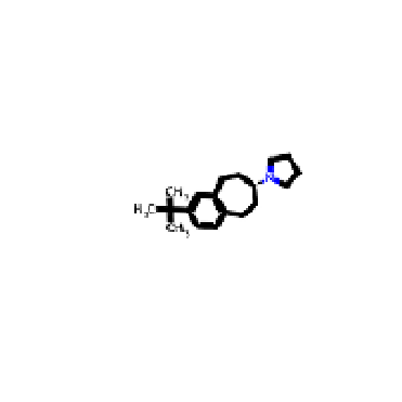 CC(C)(C)c1ccc2c(c1)CC[C@H](N1CCCC1)CC2